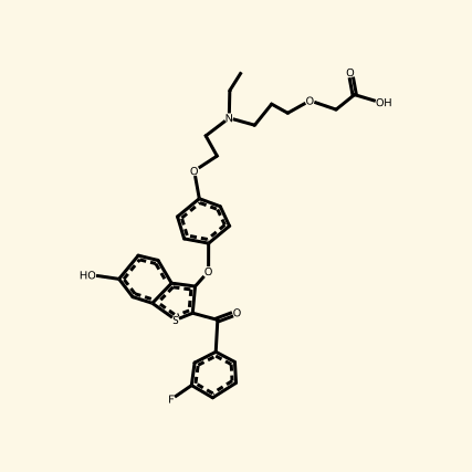 CCN(CCCOCC(=O)O)CCOc1ccc(Oc2c(C(=O)c3cccc(F)c3)sc3cc(O)ccc23)cc1